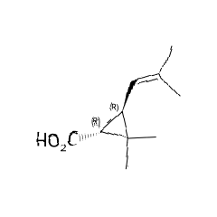 CC(C)=C[C@@H]1[C@@H](C(=O)O)C1(C)C